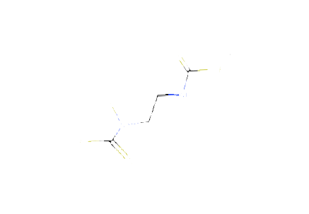 C.S=C(S)NCCN(S)C(=S)S